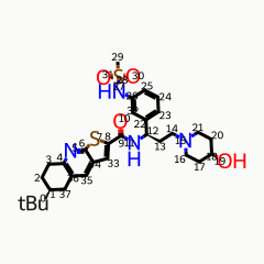 CC(C)(C)[C@H]1CCc2nc3sc(C(=O)N[C@H](CCN4CCC(O)CC4)c4cccc(NS(C)(=O)=O)c4)cc3cc2C1